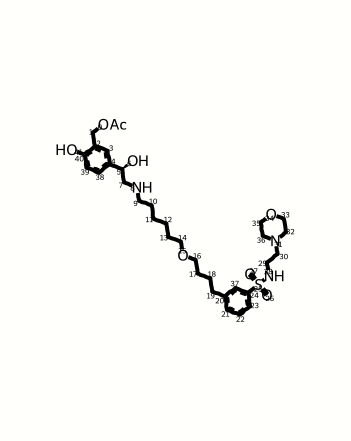 CC(=O)OCc1cc([C@@H](O)CNCCCCCCOCCCCc2cccc(S(=O)(=O)NCCN3CCOCC3)c2)ccc1O